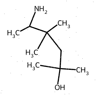 CC(N)C(C)(C)CC(C)(C)O